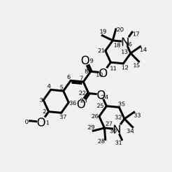 COC1CCC(C=C(C(=O)OC2CC(C)(C)N(C)C(C)(C)C2)C(=O)OC2CC(C)(C)N(C)C(C)(C)C2)CC1